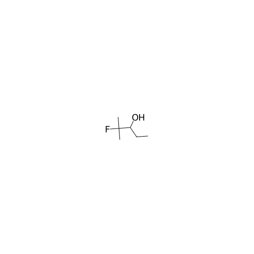 CCC(O)C(C)(C)F